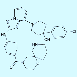 O=C(c1ccc(Nc2nc3c(N4CCC(O)(c5ccc(Cl)cc5)CC4)cccn3n2)cc1)N1CCOC2(CCCNC2)C1